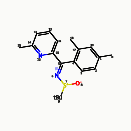 Cc1ccc(/C(=N\[S+]([O-])C(C)(C)C)c2cccc(C)n2)c(C)c1